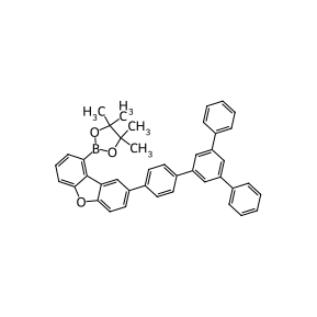 CC1(C)OB(c2cccc3oc4ccc(-c5ccc(-c6cc(-c7ccccc7)cc(-c7ccccc7)c6)cc5)cc4c23)OC1(C)C